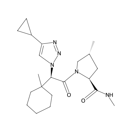 CNC(=O)[C@@H]1C[C@@H](C)CN1C(=O)[C@H](n1cc(C2CC2)nn1)C1(C)CCCCC1